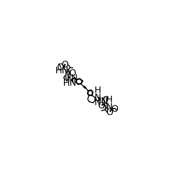 COC(=O)N[C@H](C(=O)N1CCC[C@H]1c1nc2c([nH]1)-c1ccc(C#Cc3ccc4nc([C@@H]5CCCN5C(=O)[C@@H](NC(=O)OC)C(C)C)[nH]c4c3)cc1CCC2)C(C)C